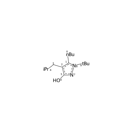 CCCCc1c(CC(C)C)c(O)nn1C(C)(C)C